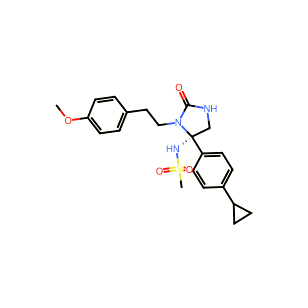 COc1ccc(CCN2C(=O)NC[C@@]2(NS(C)(=O)=O)c2ccc(C3CC3)cc2)cc1